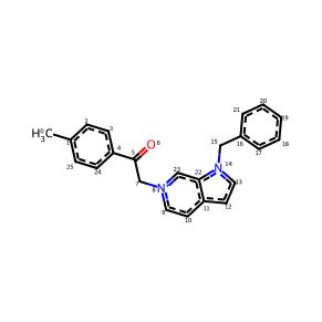 Cc1ccc(C(=O)C[n+]2ccc3ccn(Cc4ccccc4)c3c2)cc1